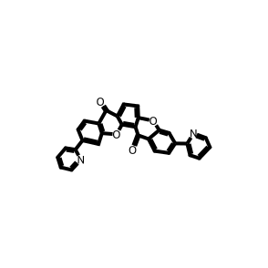 O=c1c2ccc(-c3ccccn3)cc2oc2c1ccc1oc3cc(-c4ccccn4)ccc3c(=O)c12